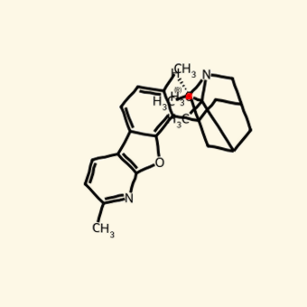 Cc1ccc2c(n1)oc1c(C34CC5CC(C3)C(C)(C)N(C5)[C@@H]4C)c(C)ccc12